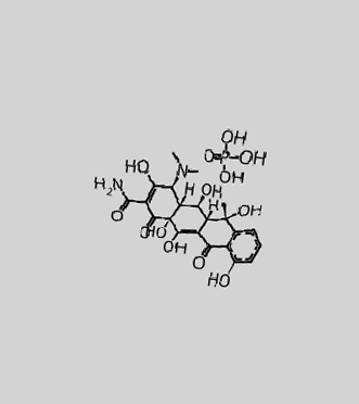 CN(C)[C@@H]1C(O)=C(C(N)=O)C(=O)[C@@]2(O)C(O)=C3C(=O)c4c(O)cccc4[C@@](C)(O)[C@H]3[C@H](O)[C@@H]12.O=P(O)(O)O